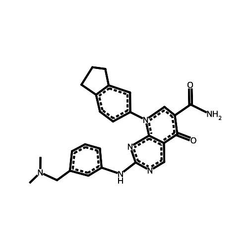 CN(C)Cc1cccc(Nc2ncc3c(=O)c(C(N)=O)cn(-c4ccc5c(c4)CCC5)c3n2)c1